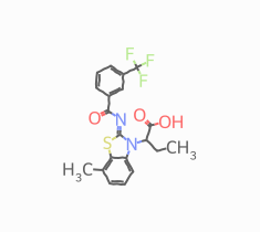 CCC(C(=O)O)n1c(=NC(=O)c2cccc(C(F)(F)F)c2)sc2c(C)cccc21